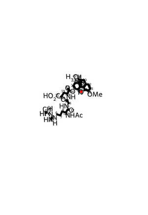 C#[PH]NC(=N)NCCC[C@H](NC(C)=O)C(=O)NCC(=O)NC(CCC(=O)O)C(=O)OC1=CC[C@H]2[C@H]3Cc4ccc(OC)c5c4[C@@]2(CCN3C)[C@H]1O5